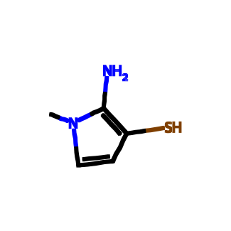 Cn1ccc(S)c1N